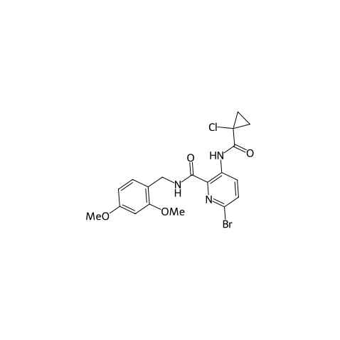 COc1ccc(CNC(=O)c2nc(Br)ccc2NC(=O)C2(Cl)CC2)c(OC)c1